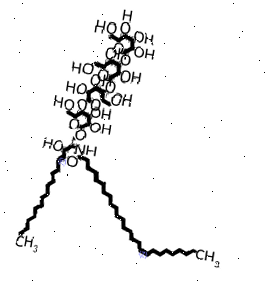 CCCCCCCC/C=C\CCCCCCCCCCCCCCCC(=O)N[C@@H](CO[C@@H]1OC(CO)[C@@H](O[C@@H]2OC(CO)[C@H](O[C@@H]3OC(CO)[C@H](O)[C@H](O[C@@H]4OC(CO)[C@H](O)[C@H](O)C4O)C3O)[C@H](O)C2O)[C@H](O)C1O)[C@H](O)/C=C/CCCCCCCCCCCCC